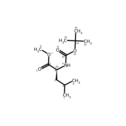 COC(=O)[C@H](CC(C)C)NC(=O)OC(C)(C)C